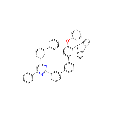 c1ccc(-c2cccc(-c3cc(-c4ccccc4)nc(-c4cccc(-c5cccc(-c6ccc7c(c6)C6(c8ccccc8O7)c7ccccc7-c7ccccc76)c5)c4)n3)c2)cc1